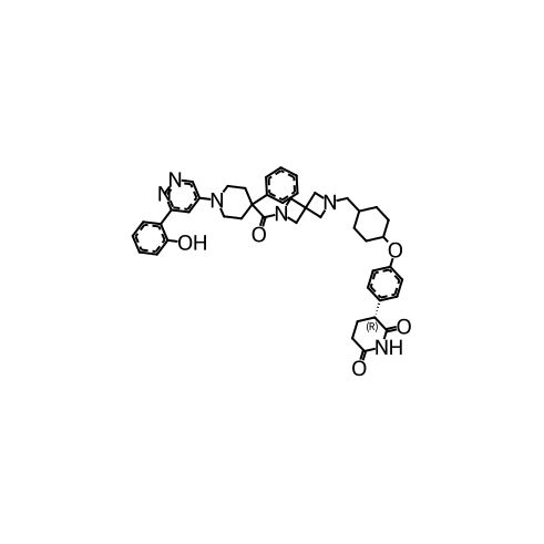 O=C1CC[C@H](c2ccc(OC3CCC(CN4CC5(C4)CN(C(=O)C4(c6ccccc6)CCN(c6cnnc(-c7ccccc7O)c6)CC4)C5)CC3)cc2)C(=O)N1